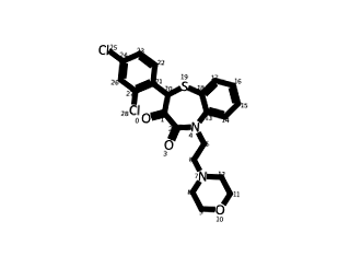 O=C1C(=O)N(CCN2CCOCC2)c2ccccc2SC1c1ccc(Cl)cc1Cl